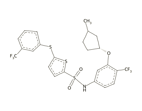 CC1CC[C@@H](Oc2cc(NS(=O)(=O)c3ccc(Sc4cccc(C(F)(F)F)c4)s3)ccc2C(F)(F)F)C1